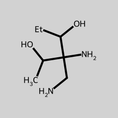 CCC(O)C(N)(CN)C(C)O